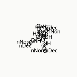 CCCCCCCCCCC[C@H](CC(=O)NCCOC[C@H]1O[C@H](OCCNC(=O)C[C@@H](CCCCCCCCCCC)OC(=O)CCCCCCCCC)[C@@H](NC(=O)C[C@@H](CCCCCCCCCCC)OC(=O)CCCCCCCCC)[C@@H](OC(=O)C[C@@H](CCCCCCCCCCC)OC(=O)CCCCCCCCC)[C@@H]1OP(=O)(O)O)OC(=O)CCCCCCCCC